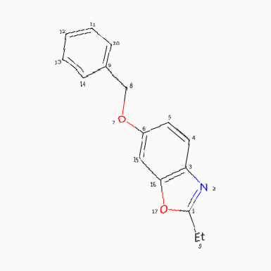 CCc1nc2ccc(OCc3ccccc3)cc2o1